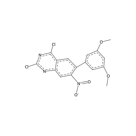 COc1cc(OC)cc(-c2cc3c(Cl)nc(Cl)nc3cc2[N+](=O)[O-])c1